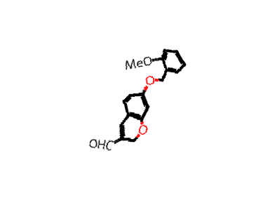 COc1ccccc1COc1ccc2c(c1)OCC(C=O)=C2